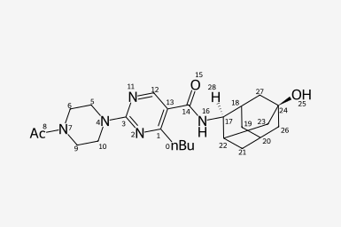 CCCCc1nc(N2CCN(C(C)=O)CC2)ncc1C(=O)N[C@H]1C2CC3CC1C[C@@](O)(C3)C2